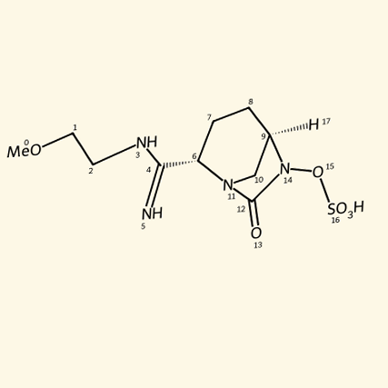 COCCNC(=N)[C@@H]1CC[C@@H]2CN1C(=O)N2OS(=O)(=O)O